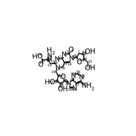 Nc1nc(=O)n([C@H]2C[C@H](O)[C@@H](CO)O2)cc1CN(CC[C@H](N)C(=O)O)CC1O[C@@H](n2cnc3c(N)ncnc32)[C@H](O)[C@@H]1O